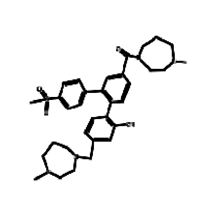 CN1CCCN(Cc2ccc(-c3ccc(C(=O)N4CCCN(C)CC4)cc3-c3ccc(S(C)(=O)=O)cc3)c(C#N)c2)CC1